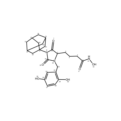 O=C(CCCC1C(=O)N(C23CC4CC(CC(C4)C2)C3)C(=O)N1Cc1cc(O)ccc1O)NO